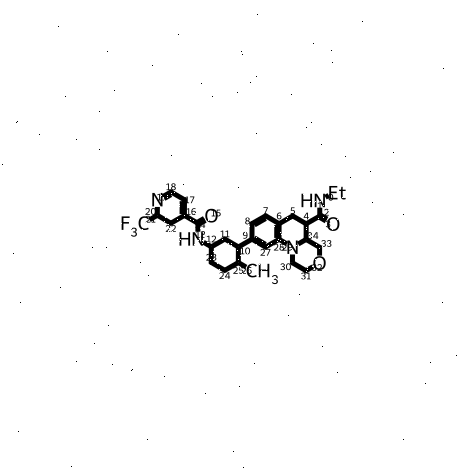 CCNC(=O)C1Cc2ccc(C3CC(NC(=O)C4=CC=NC(C(F)(F)F)C4)CCC3C)cc2N2CCOCC12